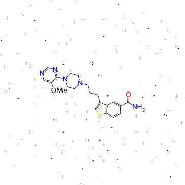 COc1cncnc1N1CCN(CCCc2csc3ccc(C(N)=O)cc23)CC1